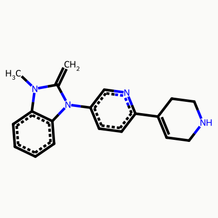 C=C1N(C)c2ccccc2N1c1ccc(C2=CCNCC2)nc1